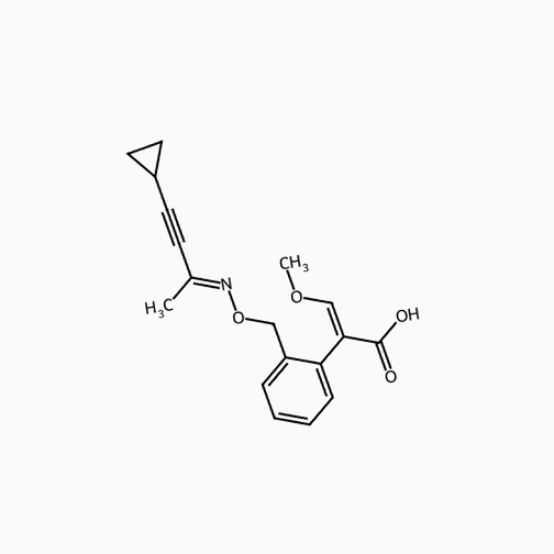 CO/C=C(/C(=O)O)c1ccccc1CO/N=C(\C)C#CC1CC1